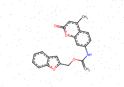 C=C(Nc1ccc2c(C)cc(=O)oc2c1)OCc1cc2ccccc2o1